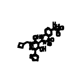 O=c1c(C2=NS(=O)(=O)c3cc(N[SH](=O)=O)ccc3N2)c(O)c(-c2cccs2)nn1CC1CCC1